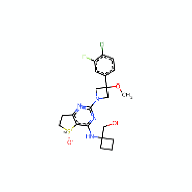 COC1(c2ccc(Cl)c(F)c2)CN(c2nc3c(c(NC4(CO)CCC4)n2)[S@+]([O-])CC3)C1